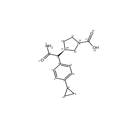 NC(=O)C(c1ccc(C2CC2)cc1)[C@H]1CCN(C(=O)O)C1